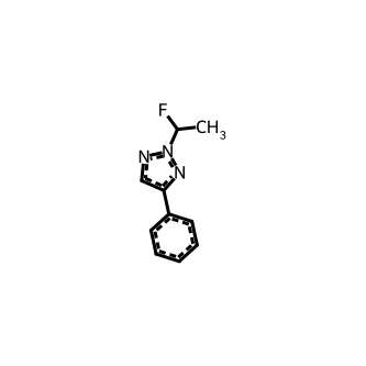 CC(F)n1ncc(-c2ccccc2)n1